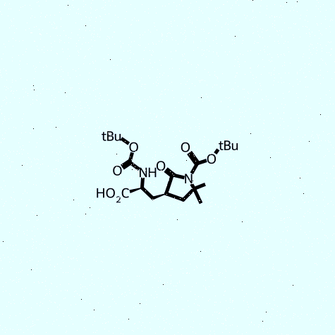 CC(C)(C)OC(=O)N[C@@H](C[C@@H]1CC(C)(C)N(C(=O)OC(C)(C)C)C1=O)C(=O)O